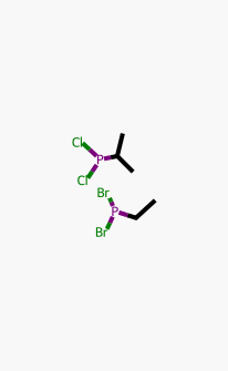 CC(C)P(Cl)Cl.CCP(Br)Br